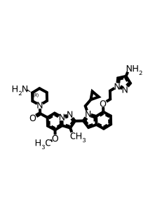 COc1cc(C(=O)N2CCC[C@@H](N)C2)cn2nc(-c3cc4cccc(OCCn5cc(N)cn5)c4n3CC3CC3)c(C)c12